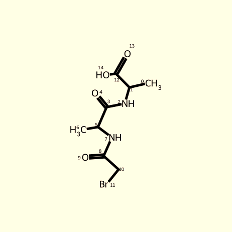 CC(NC(=O)C(C)NC(=O)CBr)C(=O)O